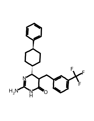 NC1=NC([C@H]2CC[C@H](c3ccccc3)CC2)C(Cc2cccc(C(F)(F)F)c2)C(=O)N1